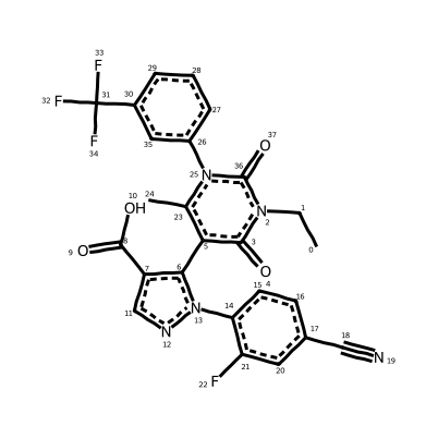 CCn1c(=O)c(-c2c(C(=O)O)cnn2-c2ccc(C#N)cc2F)c(C)n(-c2cccc(C(F)(F)F)c2)c1=O